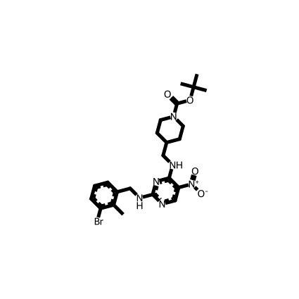 Cc1c(Br)cccc1CNc1ncc([N+](=O)[O-])c(NCC2CCN(C(=O)OC(C)(C)C)CC2)n1